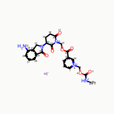 CC(C)NC(=O)OC[n+]1cccc(C(=O)OCN2C(=O)CCC(N3Cc4c(N)cccc4C3=O)C2=O)c1.[I-]